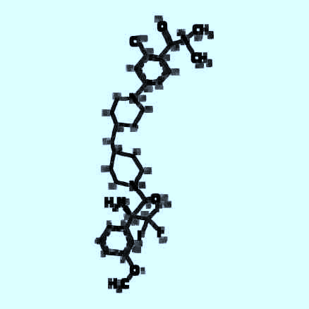 COc1cccc([C@](N)(C(=O)N2CCC(CC3CCN(c4ccc(C(=O)N(C)C)c(Cl)c4)CC3)CC2)C(F)(F)F)c1